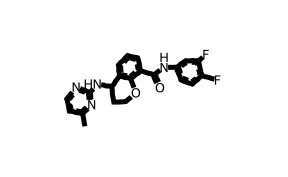 Cc1ccnc(NC2CCOc3c(C(=O)Nc4ccc(F)c(F)c4)cccc32)n1